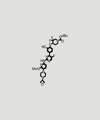 COc1nc(Nc2ncc(F)c(-c3ccc(OC4CCN(C(=O)OC(C)(C)C)CC4(F)F)c(C#N)c3)n2)ccc1N1CCN(C2COC2)CC1